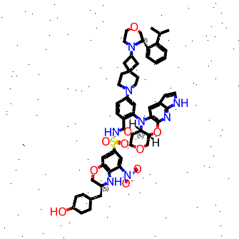 CC(C)c1ccccc1[C@@H]1COCCN1C1CC2(CCN(c3ccc(C(=O)NS(=O)(=O)c4cc5c(c([N+](=O)[O-])c4)N[C@@H](CC4CCC(O)CC4)CO5)c(N4c5cc6cc[nH]c6nc5O[C@H]5COCC[C@@H]54)c3)CC2)C1